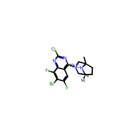 CC12CC[C@H](CN(c3nc(Cl)nc4c(F)c(Br)c(F)cc34)C1)N2C(=O)O